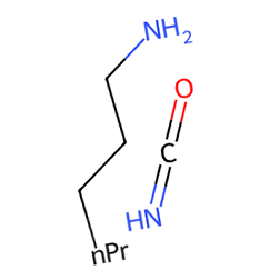 CCCCCCN.N=C=O